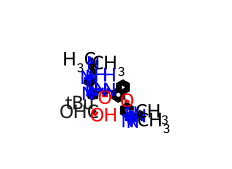 CN(C)CCn1cc(-n2nc(C(C)(C)C)cc2NC(=O)N[C@H]2CC[C@@H](Oc3ccc4nnc(N(C)C)n4c3)c3ccccc32)cn1.O=CO